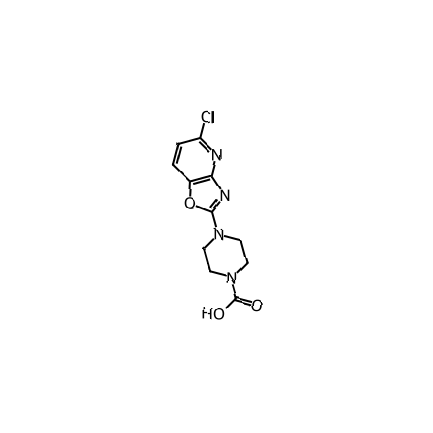 O=C(O)N1CCN(c2nc3nc(Cl)ccc3o2)CC1